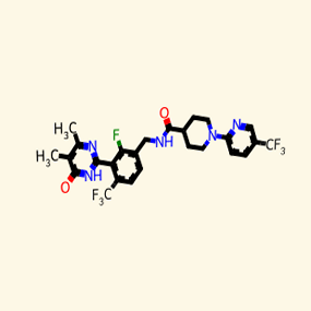 Cc1nc(-c2c(C(F)(F)F)ccc(CNC(=O)C3CCN(c4ccc(C(F)(F)F)cn4)CC3)c2F)[nH]c(=O)c1C